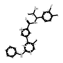 Cc1ccc(C(NC(=O)c2cc(-c3nc(Nc4ccccc4)ncc3C)c[nH]2)C(C)O)cc1F